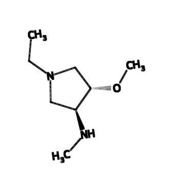 CCN1C[C@H](NC)[C@@H](OC)C1